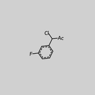 CC(=O)C(Cl)c1cccc(F)c1